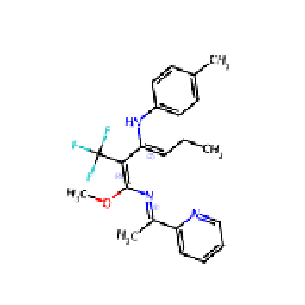 CC/C=C(Nc1ccc(C)cc1)/C(=C(\N=C(/C)c1ccccn1)OC)C(F)(F)F